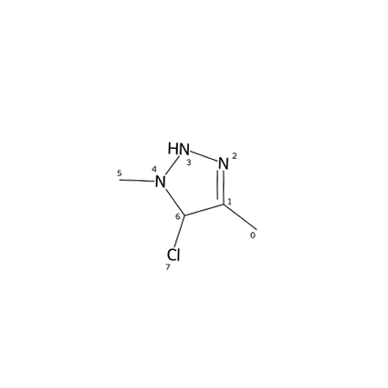 CC1=NNN(C)C1Cl